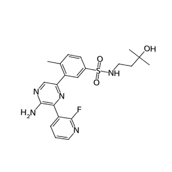 Cc1ccc(S(=O)(=O)NCCC(C)(C)O)cc1-c1cnc(N)c(-c2cccnc2F)n1